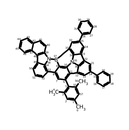 Cc1cc(C)c(-c2cc3c4c5c2c2cc(-c6ccccc6)cc6c7cc(-c8ccccc8)cc(c7n5c62)B4n2c4ccc5ccccc5c4c4cccc-3c42)c(C)c1